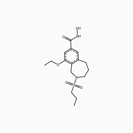 CCCS(=O)(=O)N1CCCc2cc(C(=O)NO)cc(OCC)c2C1